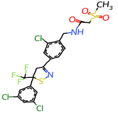 CS(=O)(=O)CC(=O)NCc1ccc(C2=NSC(c3cc(Cl)cc(Cl)c3)(C(F)(F)F)C2)cc1Cl